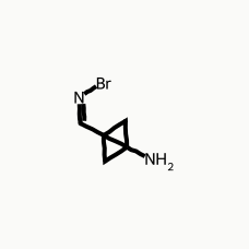 NC12CC1(/C=N\Br)C2